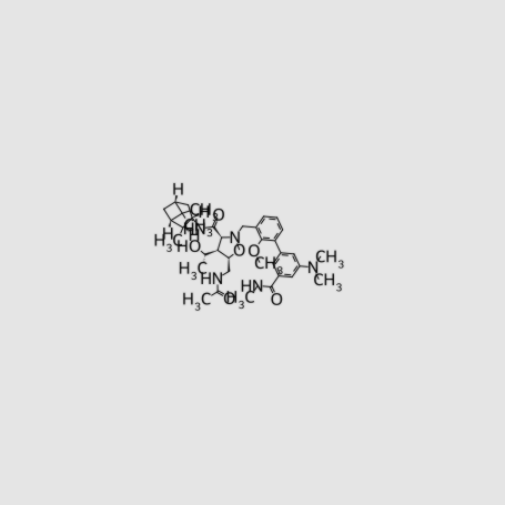 CNC(=O)c1cc(-c2cccc(CN3O[C@@H](CNC(C)=O)[C@@H]([C@H](C)O)[C@H]3C(=O)N[C@H]3C[C@H]4C[C@@H]([C@@H]3C)C4(C)C)c2OC)cc(N(C)C)c1